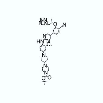 COc1cc(N2CCC(N3CCN(C(=O)OC(C)(C)C)CC3)CC2)ccc1Nc1ncc(-c2ccc(C#N)c(OC(C)Cn3cnnn3)c2)cn1